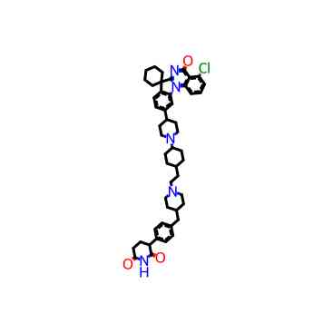 O=C1CCC(c2ccc(CC3CCN(CCC4CCC(N5CCC(c6ccc7c(c6)-n6c(nc(=O)c8c(Cl)cccc86)C76CCCCC6)CC5)CC4)CC3)cc2)C(=O)N1